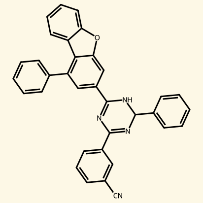 N#Cc1cccc(C2=NC(c3ccccc3)NC(c3cc(-c4ccccc4)c4c(c3)oc3ccccc34)=N2)c1